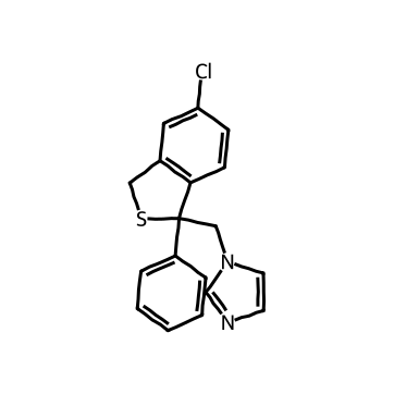 Clc1ccc2c(c1)CSC2(Cn1ccnc1)c1ccccc1